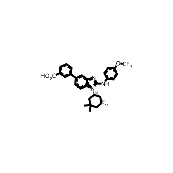 C[C@H]1C[C@@H](n2c(Nc3ccc(OC(F)(F)F)cc3)nc3cc(-c4cccc(C(=O)O)c4)ccc32)CC(C)(C)C1